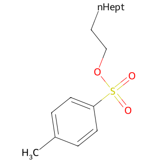 CCCCCCCCCOS(=O)(=O)c1ccc(C)cc1